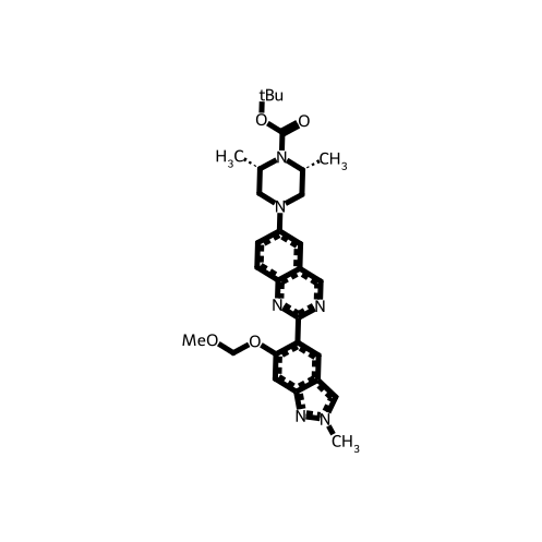 COCOc1cc2nn(C)cc2cc1-c1ncc2cc(N3C[C@@H](C)N(C(=O)OC(C)(C)C)[C@@H](C)C3)ccc2n1